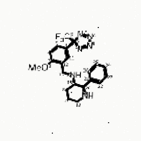 COc1ccc(C2(C(F)(F)F)N=NN=N2)cc1CNC1CCCNC1c1ccccc1